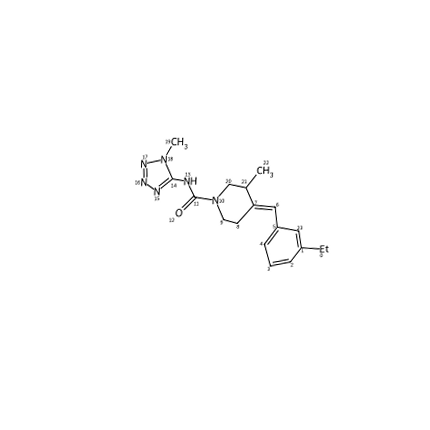 CCc1cccc(/C=C2\CCN(C(=O)Nc3nnnn3C)CC2C)c1